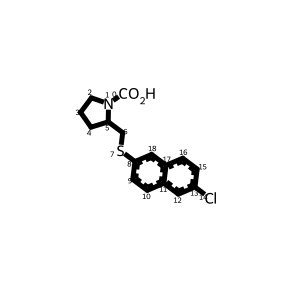 O=C(O)N1CCCC1CSc1ccc2cc(Cl)ccc2c1